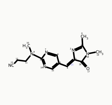 CC1=N/C(=C\c2cnc(N(C)CCC#N)nc2)C(=O)N1C